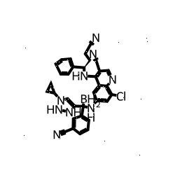 BC(Nc1cc(Cl)c2ncc(C#N)c(N[C@H](CCC#N)c3ccccc3)c2c1)(C1=CN(C2CC2)NN1)c1cccc(C#N)c1